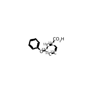 O=[13C](O)[13c]1c[13cH][13cH][13c](Oc2ccccc2)[13cH]1